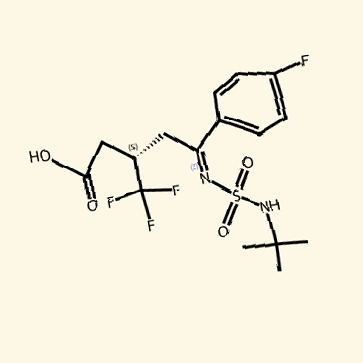 CC(C)(C)NS(=O)(=O)/N=C(/C[C@@H](CC(=O)O)C(F)(F)F)c1ccc(F)cc1